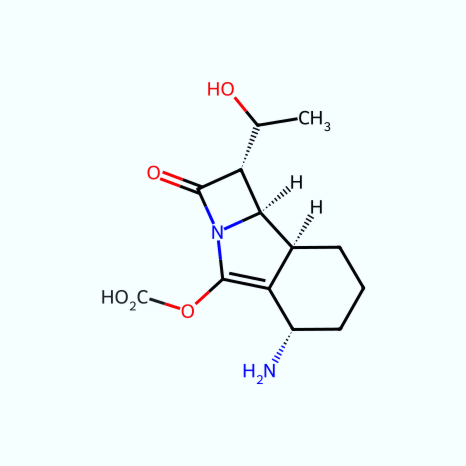 CC(O)[C@H]1C(=O)N2C(OC(=O)O)=C3[C@@H](N)CCC[C@@H]3[C@H]12